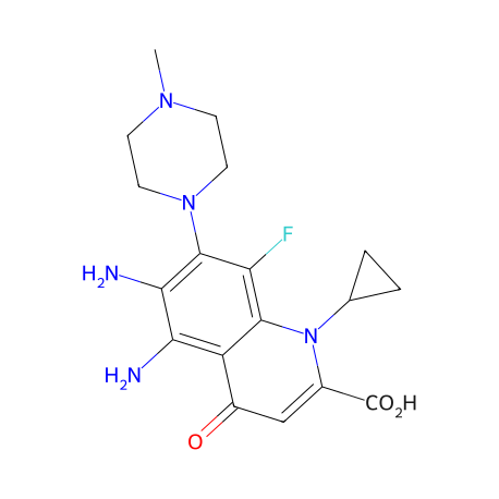 CN1CCN(c2c(N)c(N)c3c(=O)cc(C(=O)O)n(C4CC4)c3c2F)CC1